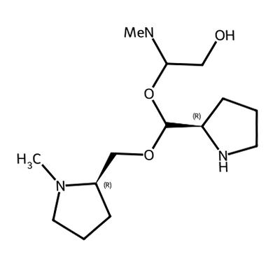 CNC(CO)OC(OC[C@H]1CCCN1C)[C@H]1CCCN1